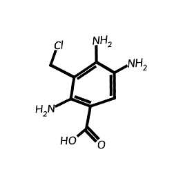 Nc1cc(C(=O)O)c(N)c(CCl)c1N